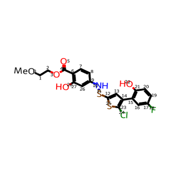 COCCOC(=O)c1ccc(NSc2cc(-c3cc(F)ccc3O)c(Cl)s2)cc1O